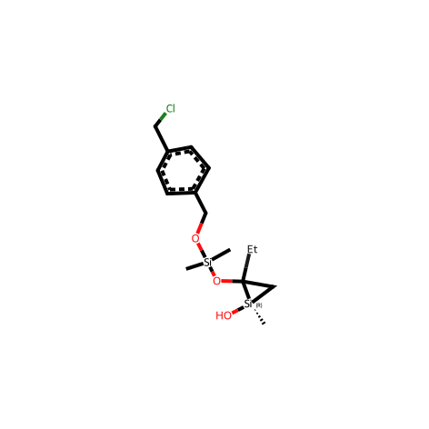 CCC1(O[Si](C)(C)OCc2ccc(CCl)cc2)C[Si@@]1(C)O